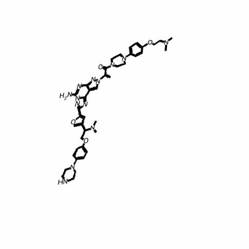 CC(C(=O)N1CCN(c2ccc(OCCN(C)C)cc2)CC1)n1cc2c(nc(N)n3nc(-c4cc(C(COc5ccc(N6CCNCC6)cc5)N(C)C)co4)nc23)n1